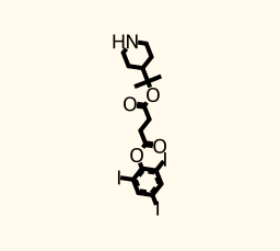 CC(C)(OC(=O)CCC(=O)Oc1c(I)cc(I)cc1I)C1CCNCC1